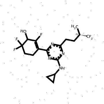 C[C@@H](CCc1nc(NC2CC2)nc(C2=C(F)C(O)C(F)(F)CC2)n1)C(F)(F)F